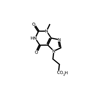 Cn1c(=O)[nH]c(=O)c2c1ncn2CCC(=O)O